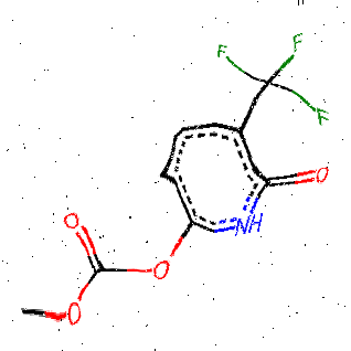 COC(=O)Oc1ccc(C(F)(F)F)c(=O)[nH]1